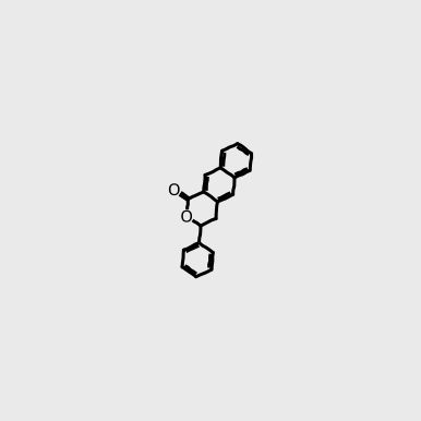 O=C1OC(c2ccccc2)Cc2cc3ccccc3cc21